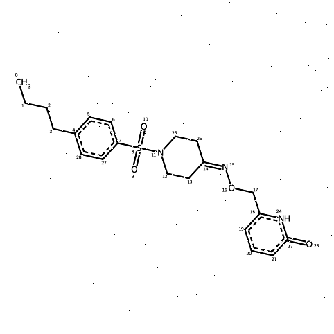 CCCCc1ccc(S(=O)(=O)N2CCC(=NOCc3cccc(=O)[nH]3)CC2)cc1